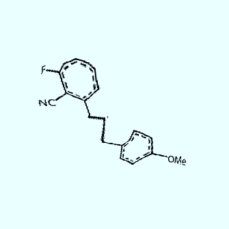 COc1ccc(C[CH]Cc2cccc(F)c2C#N)cc1